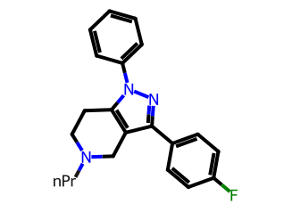 CCCN1CCc2c(c(-c3ccc(F)cc3)nn2-c2ccccc2)C1